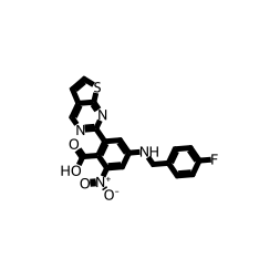 O=C(O)c1c(-c2ncc3ccsc3n2)cc(NCc2ccc(F)cc2)cc1[N+](=O)[O-]